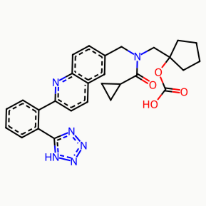 O=C(O)OC1(CN(Cc2ccc3nc(-c4ccccc4-c4nnn[nH]4)ccc3c2)C(=O)C2CC2)CCCC1